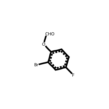 O=COc1ccc(F)cc1Br